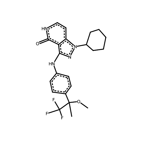 COC(C)(c1ccc(Nc2nn(C3CCCCC3)c3cc[nH]c(=O)c23)cc1)C(F)(F)F